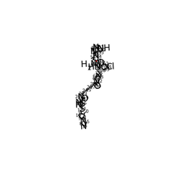 Cc1cc(-n2ccnc2)ccc1CSc1nnc(C(=O)N(C)CCCCCCCC(=O)N2CCN(CC[C@H](NC(=O)C3(N)CCN(c4ncnc5[nH]ccc45)CC3)c3ccc(Cl)cc3)CC2)s1